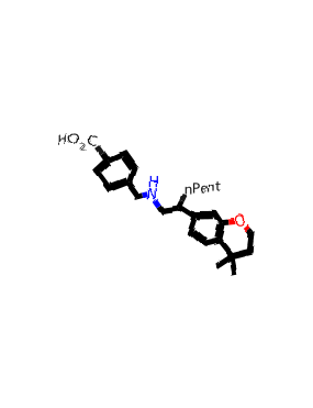 CCCCCC(CNCc1ccc(C(=O)O)cc1)c1ccc2c(c1)OCCC2(C)C